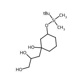 CC(C)(C)[Si](C)(C)OC1CCCC(O)(CC(O)CO)C1